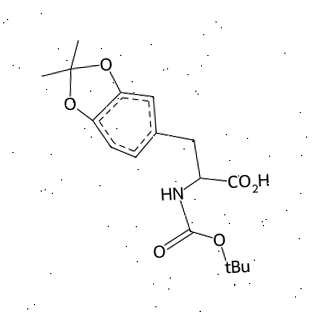 CC(C)(C)OC(=O)NC(Cc1ccc2c(c1)OC(C)(C)O2)C(=O)O